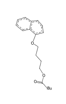 CCC(C)C(=O)OCCCCOc1cccc2ccccc12